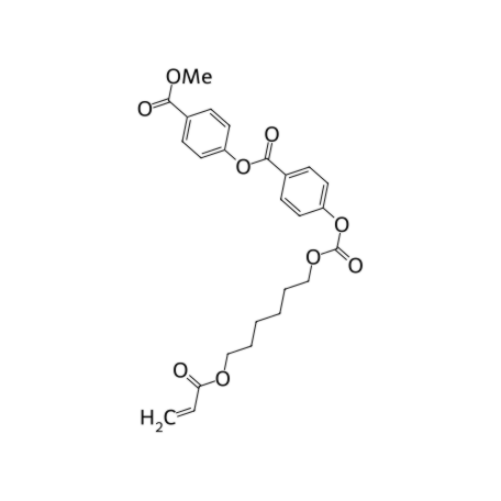 C=CC(=O)OCCCCCCOC(=O)Oc1ccc(C(=O)Oc2ccc(C(=O)OC)cc2)cc1